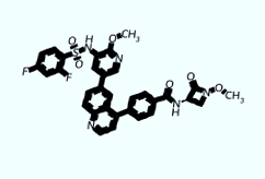 COc1ncc(-c2ccc3nccc(-c4ccc(C(=O)N[C@H]5CN(OC)C5=O)cc4)c3c2)cc1NS(=O)(=O)c1ccc(F)cc1F